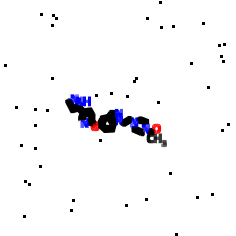 CC(=O)N1CCN(CCn2ncc3cc(Oc4ccc(-c5ccn[nH]5)cn4)ccc32)CC1